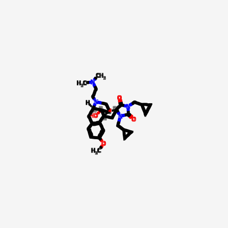 COc1ccc2c(c1)[C@]13CCN(CCN(C)C)[C@H](C2)[C@]1(O)CC[C@]1(C3)C(=O)N(CC2CC2)C(=O)N1CC1CC1